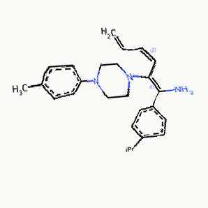 C=C/C=C\C(=C(/N)c1ccc(C(C)C)cc1)N1CCN(c2ccc(C)cc2)CC1